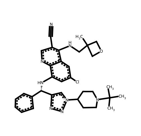 CC1(CNc2c(C#N)cnc3c(N[C@@H](c4ccccc4)c4cn(C5CCN(C(C)(C)C)CC5)nn4)cc(Cl)cc23)COC1